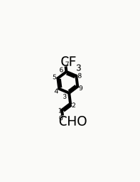 O=CC=Cc1ccc(C(F)(F)F)cc1